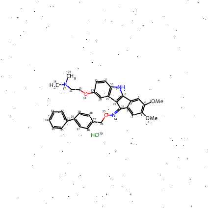 COc1cc2c(cc1OC)-c1[nH]c3ccc(OCCN(C)C)cc3c1C2=NOCc1ccc(-c2ccccc2)cc1.Cl